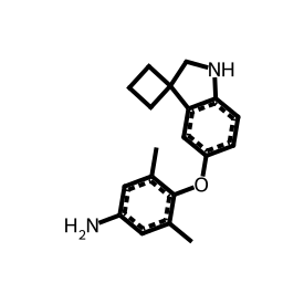 Cc1cc(N)cc(C)c1Oc1ccc2c(c1)C1(CCC1)CN2